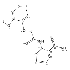 COc1ccccc1OCC(=O)Nc1ccccc1C(N)=O